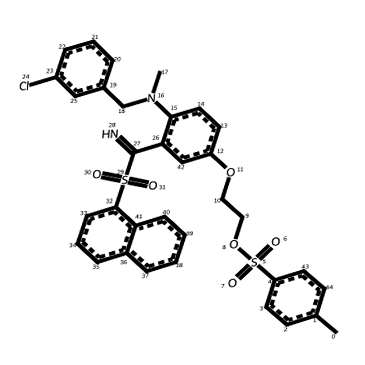 Cc1ccc(S(=O)(=O)OCCOc2ccc(N(C)Cc3cccc(Cl)c3)c(C(=N)S(=O)(=O)c3cccc4ccccc34)c2)cc1